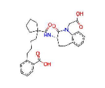 O=C(O)CN1C(=O)[C@@H](NC(=O)C2(CCCCc3ccccc3C(=O)O)CCCC2)CCc2ccccc21